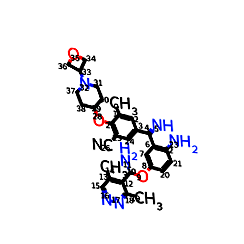 Cc1cc(C(=N)c2cc(O[C@H](N)c3c(C)cnnc3C)ccc2N)cc(C#N)c1OC1CCN(C2COC2)CC1